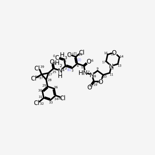 C=C/C(=C\C(C(=O)NN1CC(CN2CCOCC2)OC1=O)=C(/C)Cl)NC(=O)C1C(c2cc(Cl)cc(Cl)c2)C1(Cl)Cl